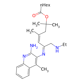 CCCCCCC(=O)OC(C)(C)C/C(C)=C\C(CNCC)=N/c1c(N)nc2ccccc2c1C